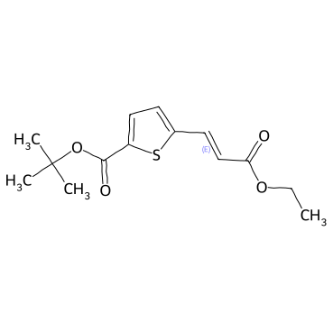 CCOC(=O)/C=C/c1ccc(C(=O)OC(C)(C)C)s1